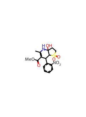 COC(=O)C1=C(C)NC2(O)CCS(=O)(=O)C2C1c1ccccc1[N+](=O)[O-]